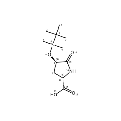 CC(C)(C)[Si](C)(C)O[C@@H]1C[C@@H](C(=O)O)NC1=O